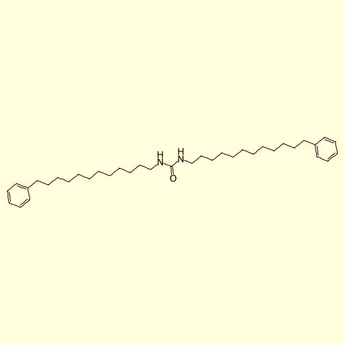 O=C(NCCCCCCCCCCCCc1ccccc1)NCCCCCCCCCCCCc1ccccc1